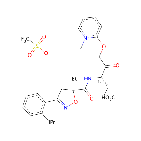 CCC1(C(=O)N[C@@H](CC(=O)O)C(=O)COc2cccc[n+]2C)CC(c2ccccc2C(C)C)=NO1.O=S(=O)([O-])C(F)(F)F